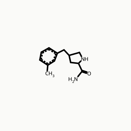 Cc1cccc(CC2CNC(C(N)=O)C2)c1